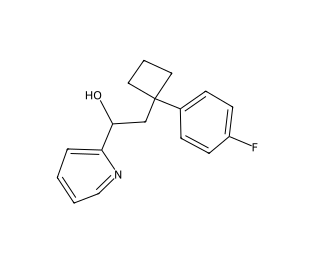 OC(CC1(c2ccc(F)cc2)CCC1)c1ccccn1